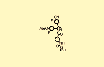 COc1ccc(-c2c(-c3ccc(C#N)c(F)c3)cnn2CC(=O)N2CCC[C@@H](NC(=O)OC(C)(C)C)C2)cc1F